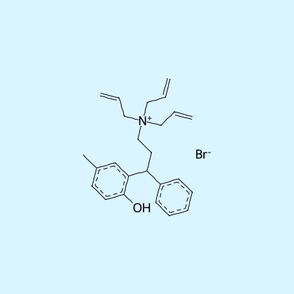 C=CC[N+](CC=C)(CC=C)CCC(c1ccccc1)c1cc(C)ccc1O.[Br-]